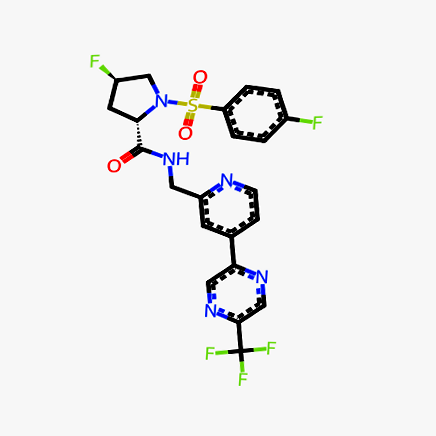 O=C(NCc1cc(-c2cnc(C(F)(F)F)cn2)ccn1)[C@@H]1C[C@@H](F)CN1S(=O)(=O)c1ccc(F)cc1